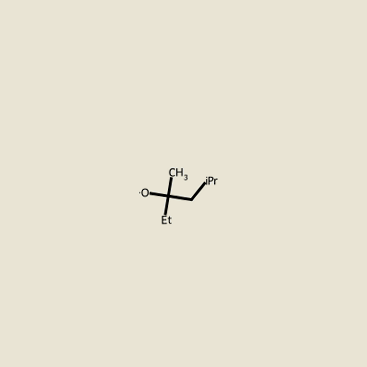 CCC(C)([O])CC(C)C